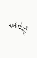 CCOC(=O)C(Cc1ccc(OC(N)=O)cc1F)C(C)=O